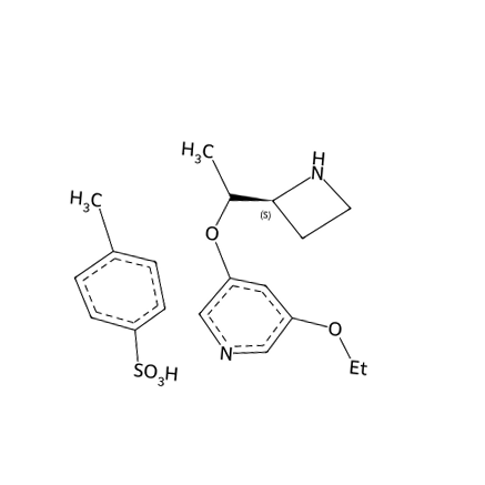 CCOc1cncc(OC(C)[C@@H]2CCN2)c1.Cc1ccc(S(=O)(=O)O)cc1